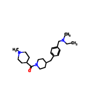 CCN(C)Cc1ccc(CC2CCN(C(=O)C3CCN(C)CC3)CC2)cc1